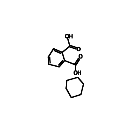 C1CCCCC1.O=C(O)c1ccccc1C(=O)O